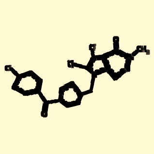 Cn1ncc2c(c(Cl)c(Cl)n2Cc2ccc(C(=O)c3ccc(Cl)cc3)cc2)c1=O